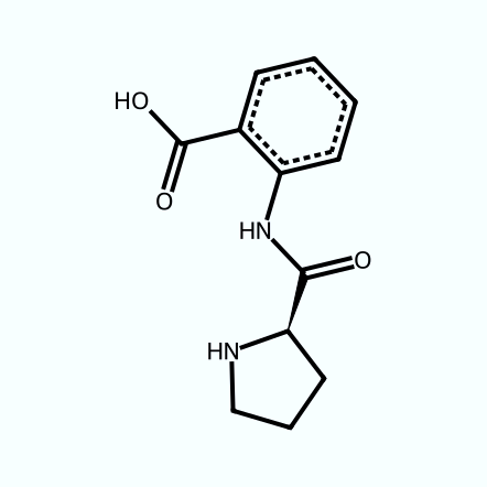 O=C(O)c1ccccc1NC(=O)[C@H]1CCCN1